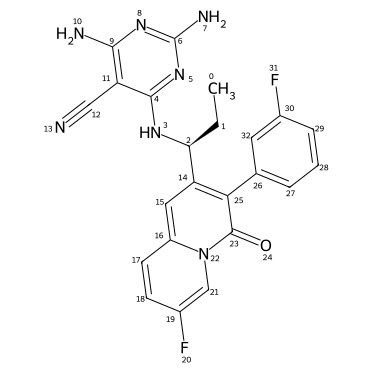 CC[C@H](Nc1nc(N)nc(N)c1C#N)c1cc2ccc(F)cn2c(=O)c1-c1cccc(F)c1